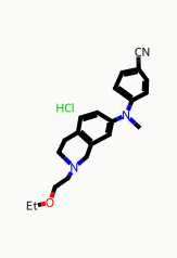 CCOCCN1CCc2ccc(N(C)c3ccc(C#N)cc3)cc2C1.Cl